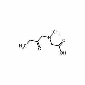 CCC(=O)CN(C)CC(=O)O